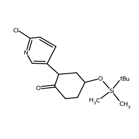 CC(C)(C)[Si](C)(C)OC1CCC(=O)C(c2ccc(Cl)nc2)C1